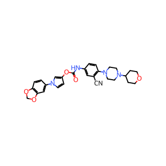 N#Cc1cc(NC(=O)Oc2ccn(-c3ccc4c(c3)OCO4)c2)ccc1N1CCN(C2CCOCC2)CC1